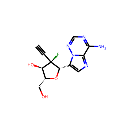 C#C[C@@]1(F)[C@H](O)[C@@H](CO)O[C@H]1c1cnc2c(N)ncnn12